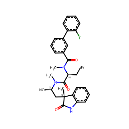 CC(C)C[C@@H](C(=O)N(C)[C@H](C#N)C[C@@]1(C)C(=O)Nc2ccccc21)N(C)C(=O)c1cccc(-c2ccccc2F)c1